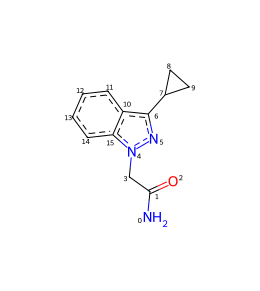 NC(=O)Cn1nc(C2CC2)c2ccccc21